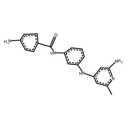 Cc1cc(Nc2cccc(NC(=O)c3ccc(N)cc3)c2)cc(N)n1